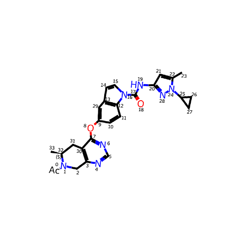 CC(=O)N1Cc2ncnc(Oc3ccc4c(ccn4C(=O)Nc4cc(C)n(C5CC5)n4)c3)c2C[C@@H]1C